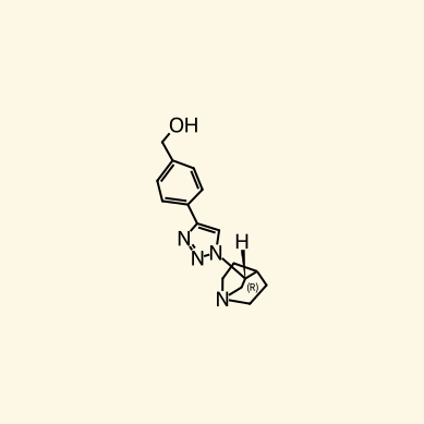 OCc1ccc(-c2cn([C@H]3CN4CCC3CC4)nn2)cc1